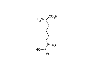 CC(=O)C(O)C(=O)CCCCC(N)C(=O)O